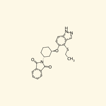 CCSc1c(O[C@@H]2CCC[C@@H](N3C(=O)c4ccccc4C3=O)C2)ccc2[nH]ncc12